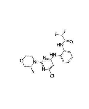 C[C@H]1COCCN1c1nc(Cl)cc(Nc2ccccc2NC(=O)C(F)F)n1